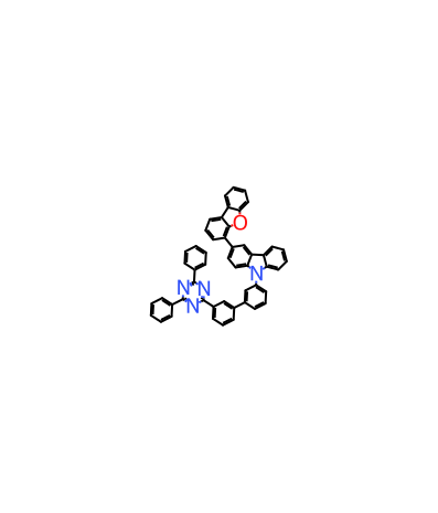 c1ccc(-c2nc(-c3ccccc3)nc(-c3cccc(-c4cccc(-n5c6ccccc6c6cc(-c7cccc8c7oc7ccccc78)ccc65)c4)c3)n2)cc1